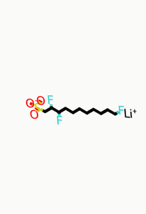 O=S(=O)([O-])CC(F)C(F)CCCCCCCCF.[Li+]